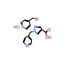 BrCc1ccncc1.Cl.O=C(O)c1cnn(Cc2ccncc2)c1